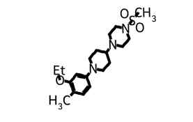 CCOc1cc(N2CCC(N3CCN(S(C)(=O)=O)CC3)CC2)ccc1C